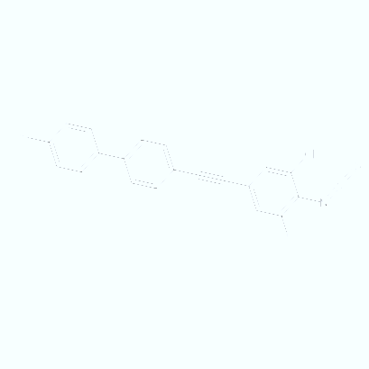 CCCc1ccc(-c2ccc(C#Cc3cc(F)c(N=C=S)c(Cl)c3)cc2)cc1